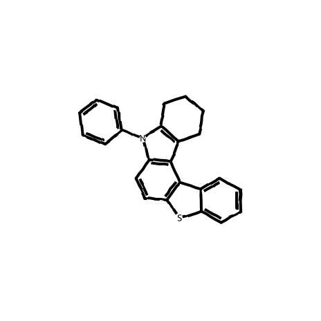 c1ccc(-n2c3c(c4c5c(ccc42)sc2ccccc25)CCCC3)cc1